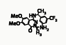 COc1cc2c(NC(C)c3cc(N)cc(C(F)(F)F)c3)nn(C)c(=O)c2cc1OC